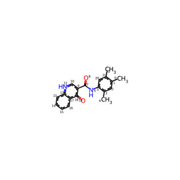 Cc1cc(C)c(NC(=O)c2c[nH]c3ccccc3c2=O)cc1C